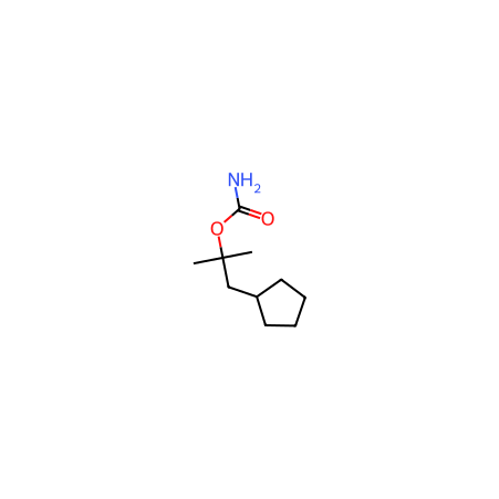 CC(C)(CC1CCCC1)OC(N)=O